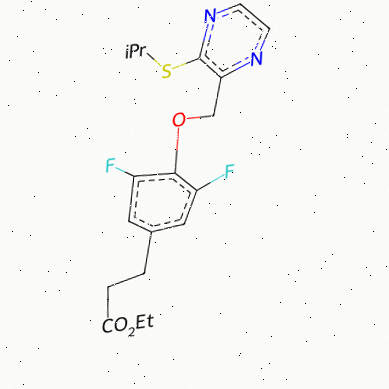 CCOC(=O)CCc1cc(F)c(OCc2nccnc2SC(C)C)c(F)c1